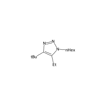 CCCCCCn1nnc(C(C)(C)C)c1CC